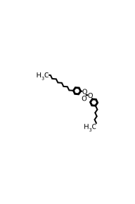 CCCCCCCCCc1ccc(OC(=O)Oc2ccc(CCCCCC)cc2)cc1